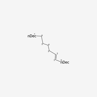 CCCCCCCCCCC=CCCCCCCCCCCCCCC